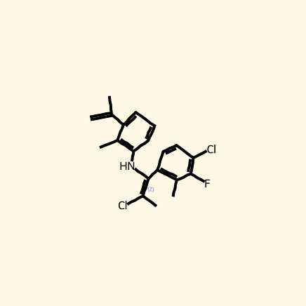 C=C(C)c1cccc(N/C(=C(/C)Cl)c2ccc(Cl)c(F)c2C)c1C